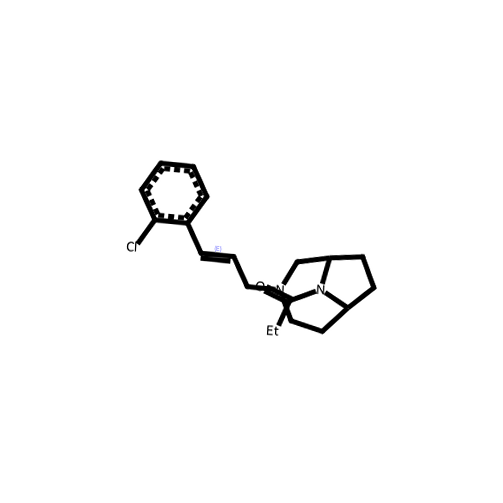 CCC(=O)N1C2CCC1CN(C/C=C/c1ccccc1Cl)CC2